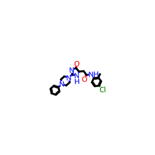 Cc1cc(Cl)ccc1NC(=O)CC1NC(N2CCN(c3ccccc3)CC2)=NC1=O